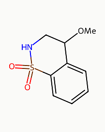 COC1CNS(=O)(=O)c2ccccc21